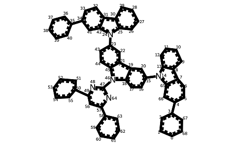 c1ccc(-c2ccc3c4ccccc4n(-c4ccc5c(c4)c4cc(-n6c7ccccc7c7ccc(-c8ccccc8)cc76)ccc4n5-c4nc(-c5ccccc5)cc(-c5ccccc5)n4)c3c2)cc1